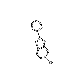 [O]c1ccc2sc(-c3ccccc3)nc2c1